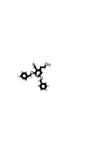 N#Cc1c(CCO)cc(OCc2ccccc2)nc1OCc1ccccc1